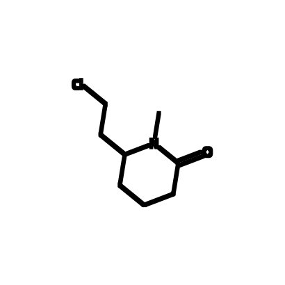 CN1C(=O)CCCC1CCCl